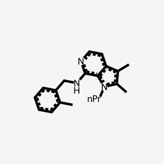 CCCn1c(C)c(C)c2ccnc(NCc3ccccc3C)c21